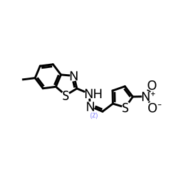 Cc1ccc2nc(N/N=C\c3ccc([N+](=O)[O-])s3)sc2c1